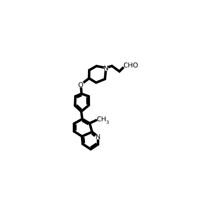 Cc1c(-c2ccc(OC3CCN(CCC=O)CC3)cc2)ccc2cccnc12